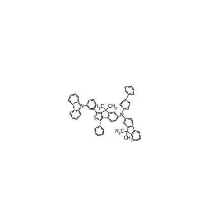 CC1(C)c2ccccc2-c2ccc(N(c3ccc(-c4ccccc4)cc3)c3ccc4c(c3)C(C)(C)c3c(-c5cccc(-n6c7ccccc7c7ccccc76)c5)sc(-c5ccccc5)c3-4)cc21